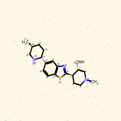 CO[C@@H]1CN(C)CC[C@H]1c1nc2cc([C@H]3CC[C@H](C)CN3)ccc2s1